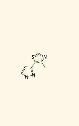 Cc1ncsc1C1=N[N]C=C1